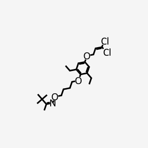 CCc1cc(OCC=C(Cl)Cl)cc(CC)c1OCCCCON=C(C)C(C)(C)C